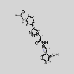 CC(=O)Nc1cccc(-c2cn(CC(=O)N/N=C/c3ccccc3O)nn2)c1